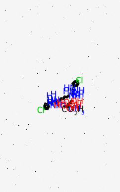 N.N=C(NCCCCCCNC(=N)NC(=N)Nc1ccc(Cl)cc1)NC(=N)Nc1ccc(Cl)cc1.O=C(O)[C@H](O)[C@@H](O)[C@H](O)[C@H](O)CO